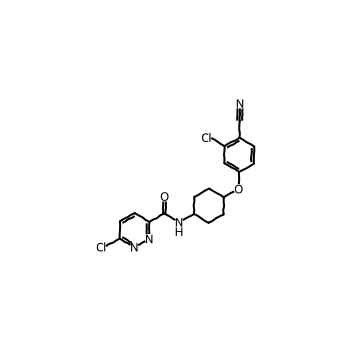 N#Cc1ccc(OC2CCC(NC(=O)c3ccc(Cl)nn3)CC2)cc1Cl